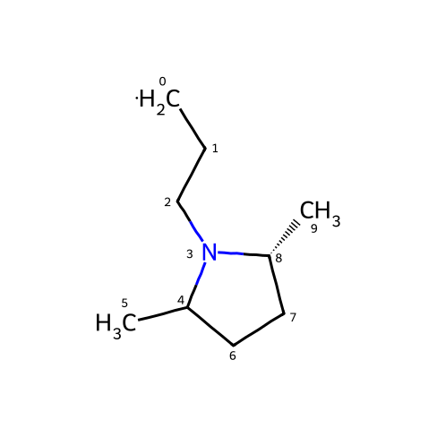 [CH2]CCN1C(C)CC[C@H]1C